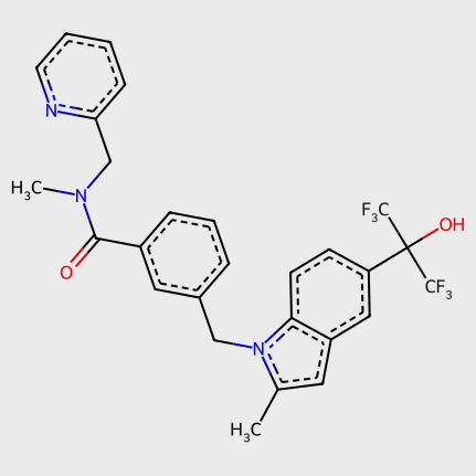 Cc1cc2cc(C(O)(C(F)(F)F)C(F)(F)F)ccc2n1Cc1cccc(C(=O)N(C)Cc2ccccn2)c1